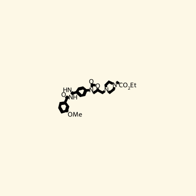 CCOC(=O)CN1CCN(CC2CN(c3ccc(C(=N)NC(=O)c4cccc(OC)c4)cc3)C(=O)O2)CC1